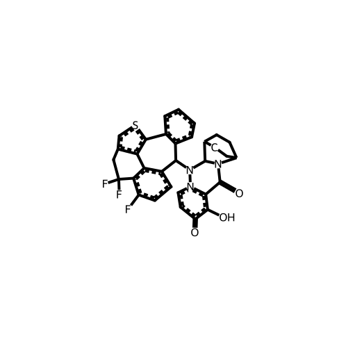 O=C1c2c(O)c(=O)ccn2N(C2c3ccccc3-c3scc4c3-c3c2ccc(F)c3C(F)(F)C4)C2C3CCC(CC3)N12